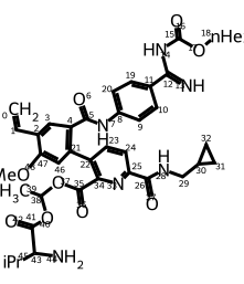 C=Cc1cc(C(=O)Nc2ccc(C(=N)NC(=O)OCCCCCC)cc2)c(-c2ccc(C(=O)NCC3CC3)nc2C(=O)OC(C)OC(=O)C(N)C(C)C)cc1OC